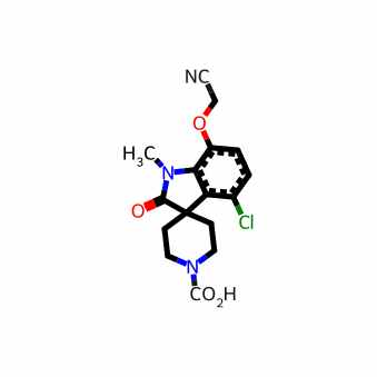 CN1C(=O)C2(CCN(C(=O)O)CC2)c2c(Cl)ccc(OCC#N)c21